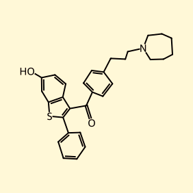 O=C(c1ccc(CCCN2CCCCCC2)cc1)c1c(-c2ccccc2)sc2cc(O)ccc12